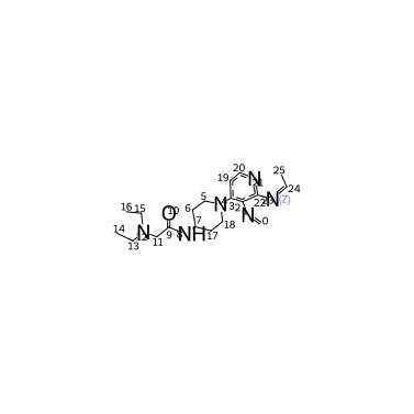 C=Nc1c(N2CCC(NC(=O)CN(CC)CC)CC2)ccnc1/N=C\C